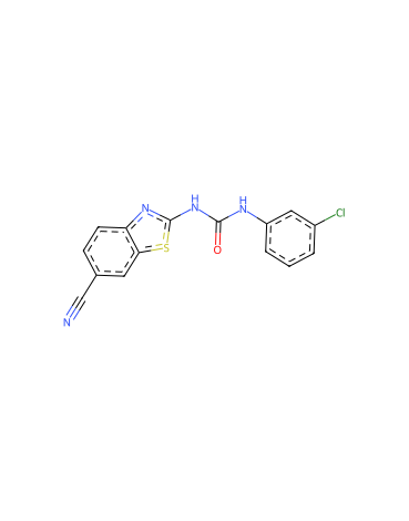 N#Cc1ccc2nc(NC(=O)Nc3cccc(Cl)c3)sc2c1